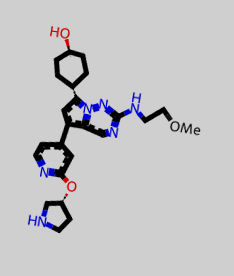 COCCNc1ncc2c(-c3ccnc(O[C@@H]4CCNC4)c3)cc([C@H]3CC[C@H](O)CC3)n2n1